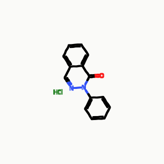 Cl.O=c1c2ccccc2cnn1-c1ccccc1